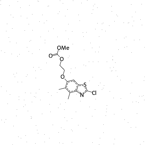 COC(=O)OCCOc1cc2sc(Cl)nc2c(C)c1C